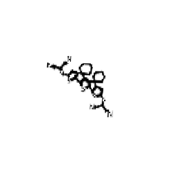 N#CC(C#N)=Nc1cc2c(s1)-c1sc3c(c1C21CCCCC1)C1(CCCCC1)c1cc(N=C(C#N)C#N)sc1-3